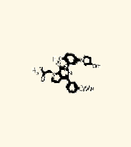 COc1cccc(-c2nn(-c3cc(N4CCC(O)C4)ccc3C(F)(F)F)c(=O)c3c2CCN3CC(N)=O)c1